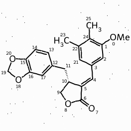 COc1cc(/C=C2/C(=O)OC[C@@H]2Cc2ccc3c(c2)OCO3)cc(C)c1C